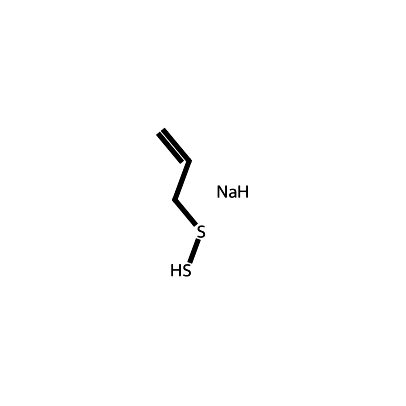 C=CCSS.[NaH]